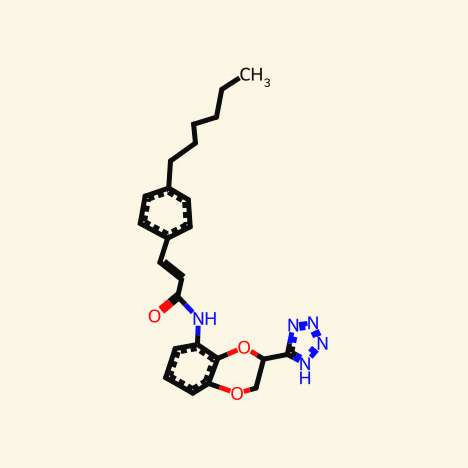 CCCCCCc1ccc(C=CC(=O)Nc2cccc3c2OC(c2nnn[nH]2)CO3)cc1